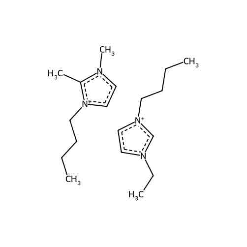 CCCC[n+]1ccn(C)c1C.CCCC[n+]1ccn(CC)c1